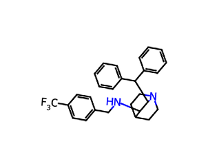 FC(F)(F)c1ccc(CNC2C3CCN(CC3)C2C(c2ccccc2)c2ccccc2)cc1